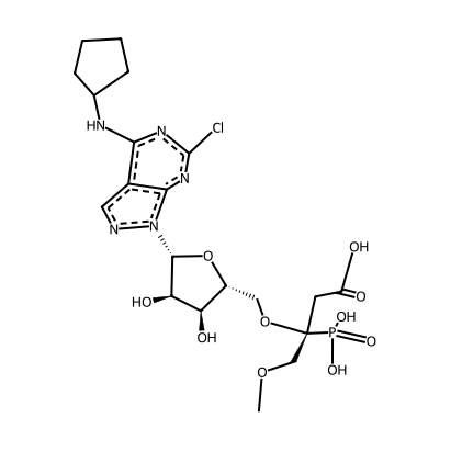 COC[C@](CC(=O)O)(OC[C@H]1O[C@@H](n2ncc3c(NC4CCCC4)nc(Cl)nc32)[C@H](O)[C@@H]1O)P(=O)(O)O